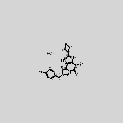 CCCN1C(=O)N2C[C@@H](Cc3ccc(F)cc3)N=C2c2[nH]c(C3CCC3)nc21.Cl